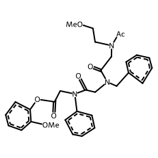 COCCN(CC(=O)N(CC(=O)N(CC(=O)Oc1ccccc1OC)c1ccccc1)Cc1ccccc1)C(C)=O